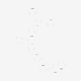 c1ccc(-c2cc(-c3ccccc3)cc(-c3ccc(N(c4ccccc4)c4ccc(-c5ccc(-c6cccc(-c7ccc8ccccc8c7)c6)cc5)cc4)cc3)c2)cc1